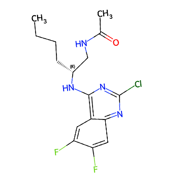 CCCC[C@H](CNC(C)=O)Nc1nc(Cl)nc2cc(F)c(F)cc12